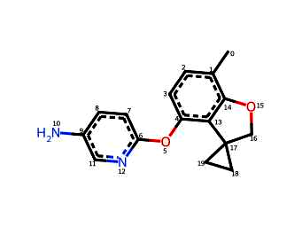 Cc1ccc(Oc2ccc(N)cn2)c2c1OCC21CC1